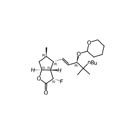 CCCCC(C)(C)[C@@H](C=C[C@@H]1[C@H]2[C@H](C[C@H]1C)OC(=O)[C@H]2F)OC1CCCCO1